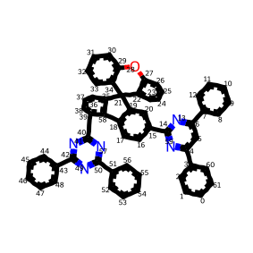 c1ccc(-c2cc(-c3ccccc3)nc(-c3ccc4c(c3)C3(c5ccccc5Oc5ccccc53)c3cccc(-c5nc(-c6ccccc6)nc(-c6ccccc6)n5)c3-4)n2)cc1